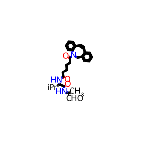 CC(C)C(NC(=O)CCCCC(=O)N1Cc2ccccc2C#Cc2ccccc21)C(=O)N[C@@H](C)C=O